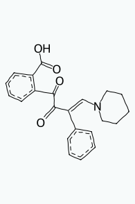 O=C(C(=O)c1ccccc1C(=O)O)C(=CN1CCCCC1)c1ccccc1